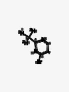 [2H]C([2H])([2H])c1nccc(Br)n1